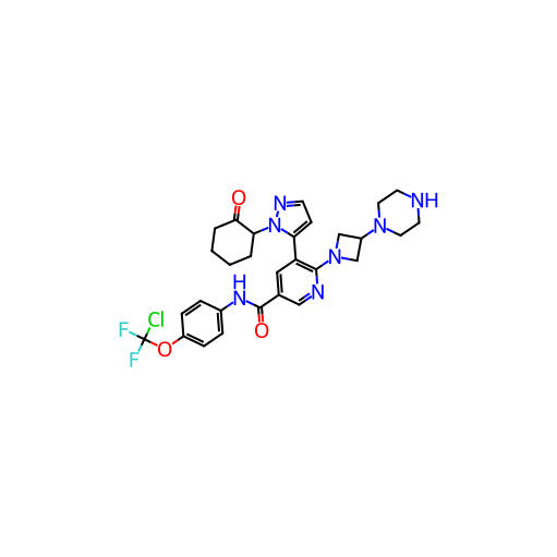 O=C(Nc1ccc(OC(F)(F)Cl)cc1)c1cnc(N2CC(N3CCNCC3)C2)c(-c2ccnn2C2CCCCC2=O)c1